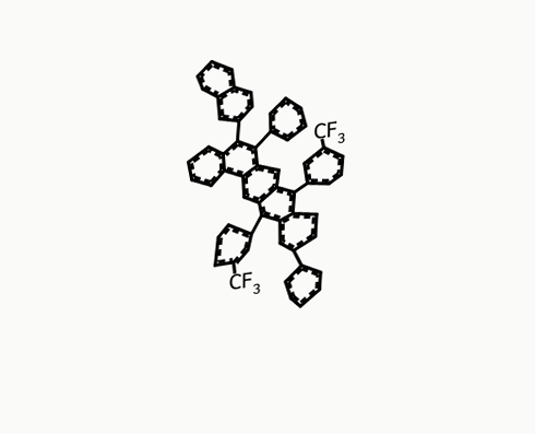 FC(F)(F)c1cccc(-c2c3ccc(-c4ccccc4)cc3c(-c3cccc(C(F)(F)F)c3)c3cc4c(cc23)c(-c2ccccc2)c(-c2ccc3ccccc3c2)c2ccccc24)c1